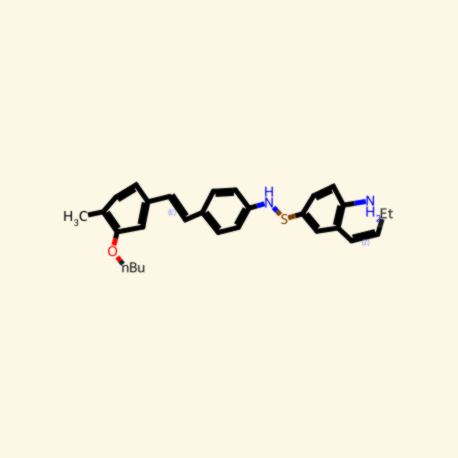 CC/C=C\c1cc(SNc2ccc(/C=C/c3ccc(C)c(OCCCC)c3)cc2)ccc1N